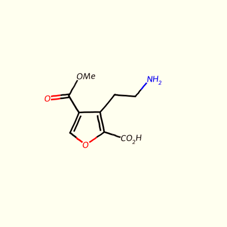 COC(=O)c1coc(C(=O)O)c1CCN